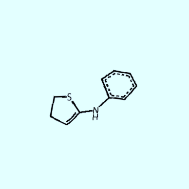 C1=C(Nc2ccccc2)SCC1